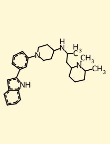 CC(CC1CCCC(C)N1C)NC1CCN(c2cccc(-c3cc4ccccc4[nH]3)c2)CC1